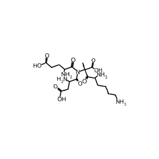 CC(C(=O)O)(C(=O)C(N)CCCCN)N(C(=O)C(N)CCC(=O)O)C(=O)C(N)CC(=O)O